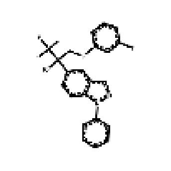 OC(CSc1cccc(F)c1)(c1ccc2c(cnn2-c2ccccc2)c1)C(F)(F)F